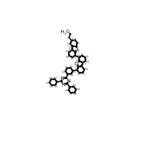 C=CCc1ccc2sc3c(-c4cccc5c4oc4c(-c6cccc(-c7nc(-c8ccccc8)nc(-c8ccccc8)n7)c6)cccc45)cccc3c2c1